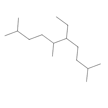 CCC(CCC(C)C)C(C)CCC(C)C